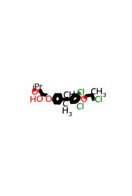 CC(C)OC[C@H](O)COc1ccc(C(C)(C)c2cc(Cl)c(OC[C@@H](C)CCl)c(Cl)c2)cc1